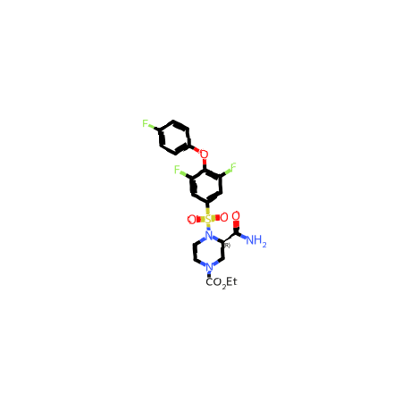 CCOC(=O)N1CCN(S(=O)(=O)c2cc(F)c(Oc3ccc(F)cc3)c(F)c2)[C@@H](C(N)=O)C1